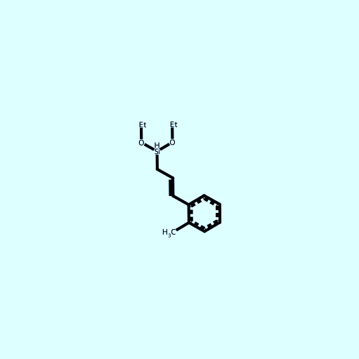 CCO[SiH](CC=Cc1ccccc1C)OCC